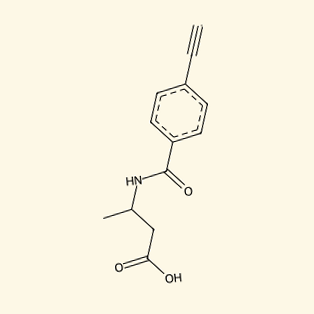 [C]#Cc1ccc(C(=O)NC(C)CC(=O)O)cc1